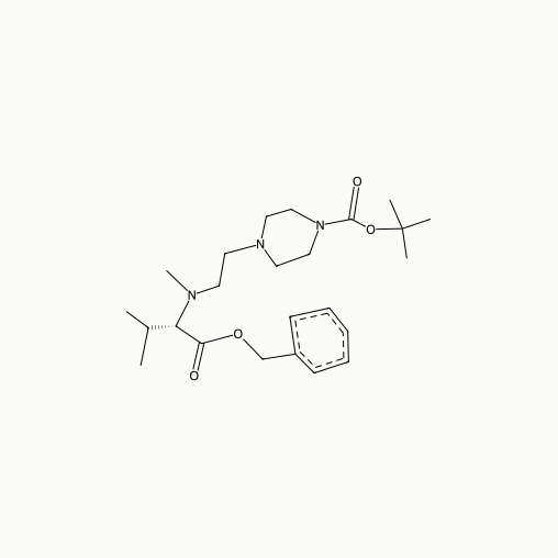 CC(C)[C@@H](C(=O)OCc1ccccc1)N(C)CCN1CCN(C(=O)OC(C)(C)C)CC1